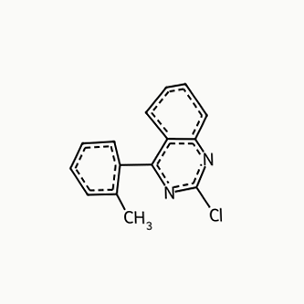 Cc1ccccc1-c1nc(Cl)nc2ccccc12